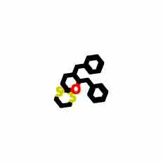 c1ccc(CC2CCC3(OC2Cc2ccccc2)SCCCS3)cc1